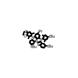 Cc1cc(C(C)(C)C)cc(C)c1N1c2cc(C(C)C)cc3c2B(c2cc(C(C)(C)C)ccc2N3c2c(C)cc3c(c2C)OCCO3)c2sc3ccc(C(C)(C)C)cc3c21